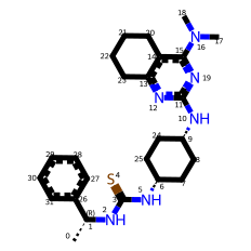 C[C@@H](NC(=S)N[C@H]1CC[C@@H](Nc2nc3c(c(N(C)C)n2)CCCC3)CC1)c1ccccc1